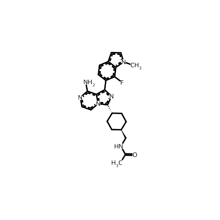 CC(=O)NC[C@H]1CC[C@H](c2nc(-c3ccc4ccn(C)c4c3F)c3c(N)nccn32)CC1